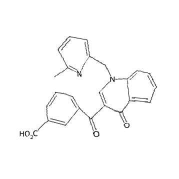 Cc1cccc(Cn2cc(C(=O)c3cccc(C(=O)O)c3)c(=O)c3ccccc32)n1